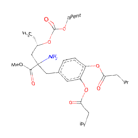 CCCCCOC(=O)O[C@@H](C)CC(N)(Cc1ccc(OC(=O)CC(C)C)c(OC(=O)CC(C)C)c1)C(=O)OC